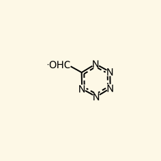 O=[C]c1nnnnn1